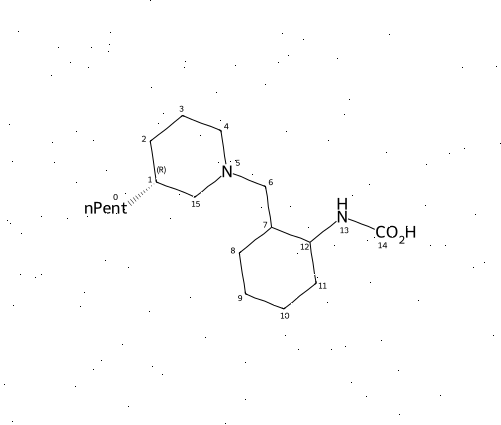 CCCCC[C@@H]1CCCN(CC2CCCCC2NC(=O)O)C1